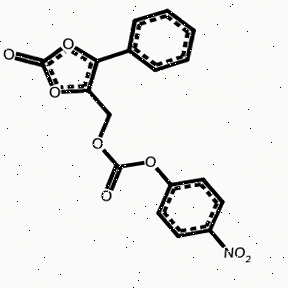 O=C(OCc1oc(=O)oc1-c1ccccc1)Oc1ccc([N+](=O)[O-])cc1